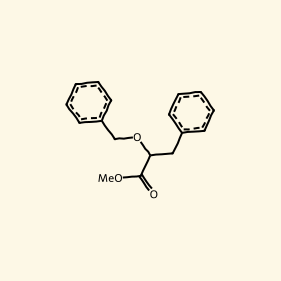 COC(=O)C(Cc1ccccc1)OCc1ccccc1